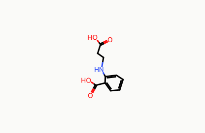 O=C(O)CCNc1ccccc1C(=O)O